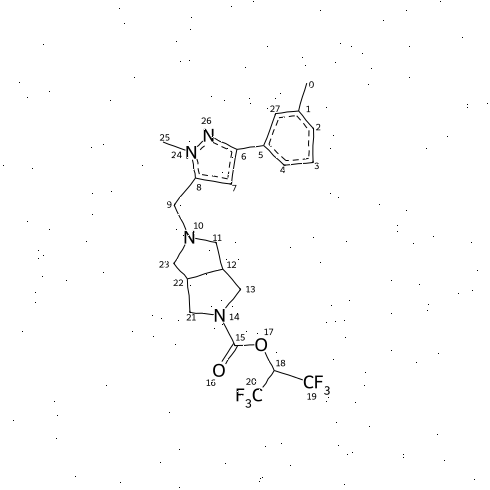 Cc1cccc(-c2cc(CN3CC4CN(C(=O)OC(C(F)(F)F)C(F)(F)F)CC4C3)n(C)n2)c1